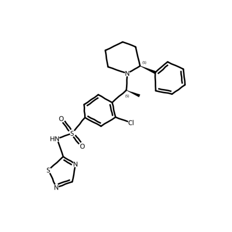 C[C@@H](c1ccc(S(=O)(=O)Nc2ncns2)cc1Cl)N1CCCC[C@H]1c1ccccc1